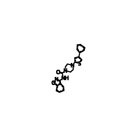 O=C(Nc1noc2ccccc12)N1CCN(c2cc(-c3ccccc3)cs2)CC1